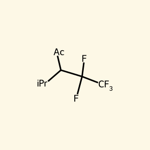 CC(=O)C(C(C)C)C(F)(F)C(F)(F)F